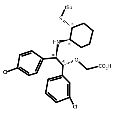 CC(C)(C)S[C@@H]1CCCC[C@H]1N[C@H](c1ccc(Cl)cc1)[C@H](OCC(=O)O)c1cccc(Cl)c1